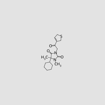 CN1C(=O)N(CC(=O)C2=CCSC2)C(=O)C1(C)C1CCCCC1